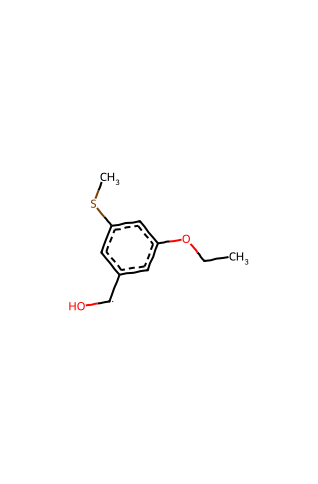 CCOc1cc([CH]O)cc(SC)c1